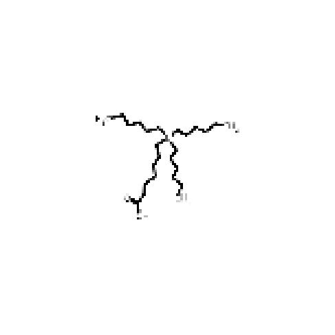 CCCCCC[N+](CCCCCC)(CCCCCC)CCCCCCC(=O)O